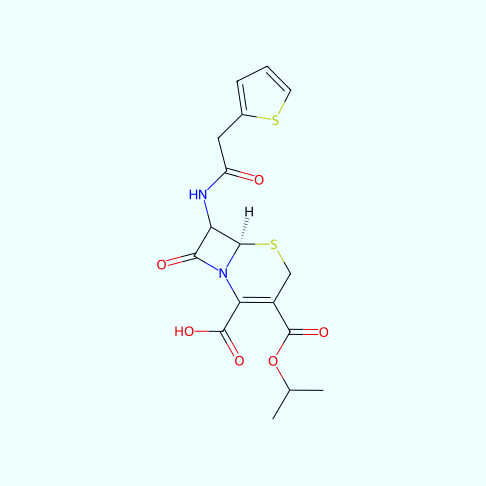 CC(C)OC(=O)C1=C(C(=O)O)N2C(=O)C(NC(=O)Cc3cccs3)[C@H]2SC1